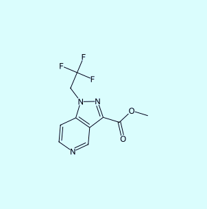 COC(=O)c1nn(CC(F)(F)F)c2ccncc12